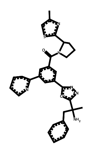 Cc1csc(C2CCCN2C(=O)c2cc(-c3ccccn3)cc(-c3nnc(C(C)(N)Cc4ccccc4)o3)c2)n1